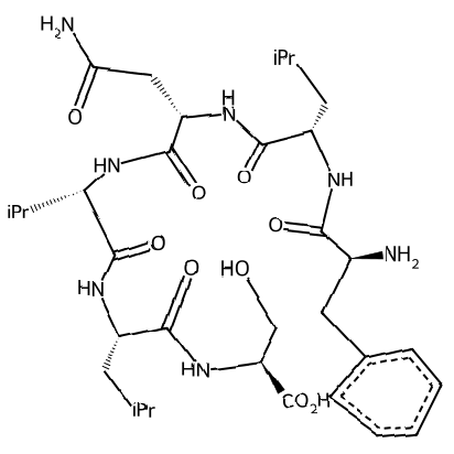 CC(C)C[C@H](NC(=O)[C@@H](NC(=O)[C@H](CC(N)=O)NC(=O)[C@H](CC(C)C)NC(=O)[C@@H](N)Cc1ccccc1)C(C)C)C(=O)N[C@@H](CO)C(=O)O